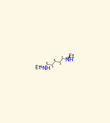 CCNCCCCCNCC